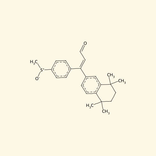 C[S+]([O-])c1ccc(C(=CC=O)c2ccc3c(c2)C(C)(C)CCC3(C)C)cc1